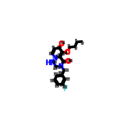 CCCCOc1c2n(ccc1=O)NCN(Cc1cccc(F)c1)C2=O